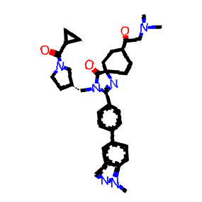 CN(C)CC(=O)C1CCC2(CC1)N=C(c1ccc(-c3ccc4c(cnn4C)c3)cc1)N(C[C@@H]1CCN(C(=O)C3CC3)C1)C2=O